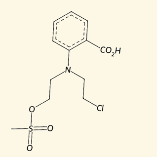 CS(=O)(=O)OCCN(CCCl)c1ccccc1C(=O)O